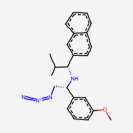 COc1cccc([C@H](CN=[N+]=[N-])N[C@@H](c2ccc3ccccc3c2)C(C)C)c1